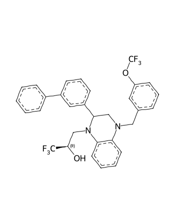 O[C@H](CN1c2ccccc2N(Cc2cccc(OC(F)(F)F)c2)CC1c1cccc(-c2ccccc2)c1)C(F)(F)F